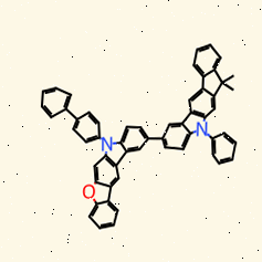 CC1(C)c2ccccc2-c2cc3c4cc(-c5ccc6c(c5)c5cc7c(cc5n6-c5ccc(-c6ccccc6)cc5)oc5ccccc57)ccc4n(-c4ccccc4)c3cc21